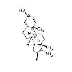 C[C@]12C=C[C@H](O)C=C1CC[C@@H]1[C@@H]2CC[C@]2(C)C(N)=C(F)C[C@@H]12